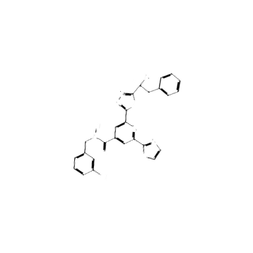 Cc1cccc(CN(C)C(=O)c2cc(-c3ncco3)nc(-c3nnc([C@@](C)(N)Cc4ccccc4)o3)c2)c1